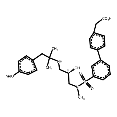 COc1ccc(CC(C)(C)NC[C@@H](O)CN(C)S(=O)(=O)c2cccc(-c3ccc(CC(=O)O)cc3)c2)cc1